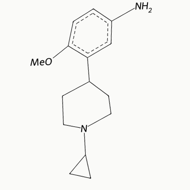 COc1ccc(N)cc1C1CCN(C2CC2)CC1